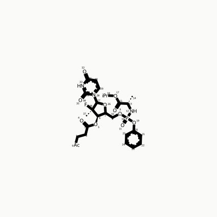 CC(=O)CCC(=O)O[C@@H]1C(COP(=O)(N[C@@H](C)C(=O)OC(C)C)Oc2ccccc2)OC(n2ccc(=O)[nH]c2=O)[C@]1(C)F